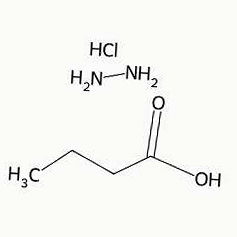 CCCC(=O)O.Cl.NN